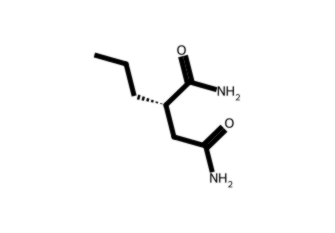 CCC[C@@H](CC(N)=O)C(N)=O